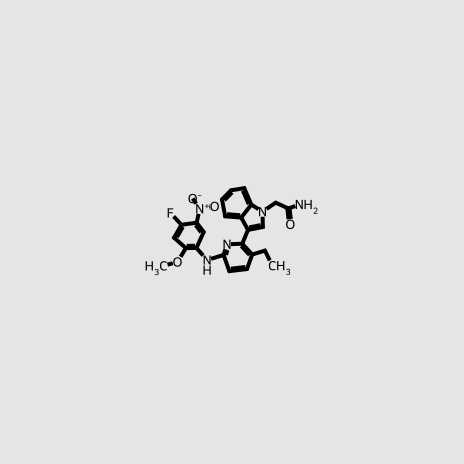 CCc1ccc(Nc2cc([N+](=O)[O-])c(F)cc2OC)nc1-c1cn(CC(N)=O)c2ccccc12